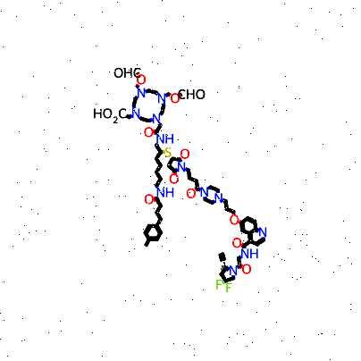 C#C[C@H]1CC(F)(F)CN1C(=O)CNC(=O)c1ccnc2ccc(OCCCN3CCN(C(=O)CCCN4C(=O)CC(SC(CCCCCNC(=O)CCCc5ccc(C)cc5)CNC(=O)CN5CCN(COC=O)CCN(COC=O)CCN(CC(=O)O)CC5)C4=O)CC3)cc12